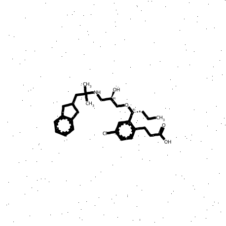 CCC[C@@H](OC[C@H](O)CNC(C)(C)CC1Cc2ccccc2C1)c1cc(Cl)ccc1CCC(=O)O